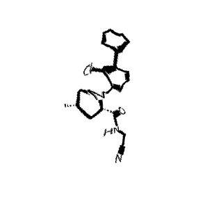 C[C@H]1C[C@@H](C(=O)NCC#N)N(c2cccc(-c3ccccc3)c2Cl)C1